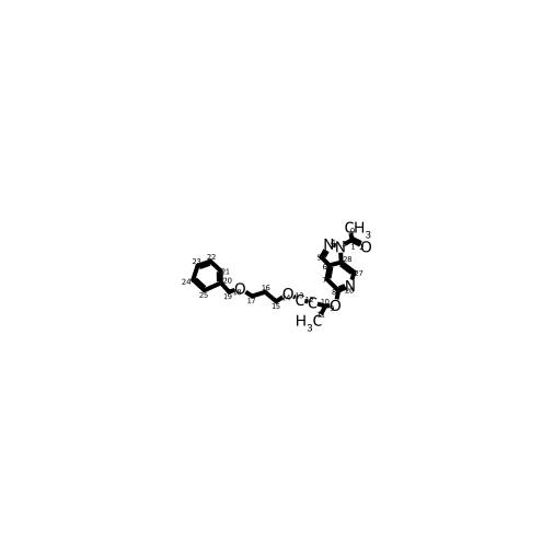 CC(=O)n1ncc2cc(OC(C)CCOCCCOCc3ccccc3)ncc21